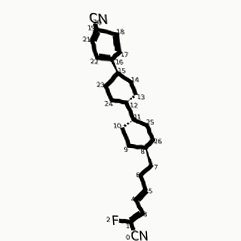 N#CC(F)=CC=CCC[C@H]1CC[C@H]([C@H]2CC[C@H](c3ccc(C#N)cc3)CC2)CC1